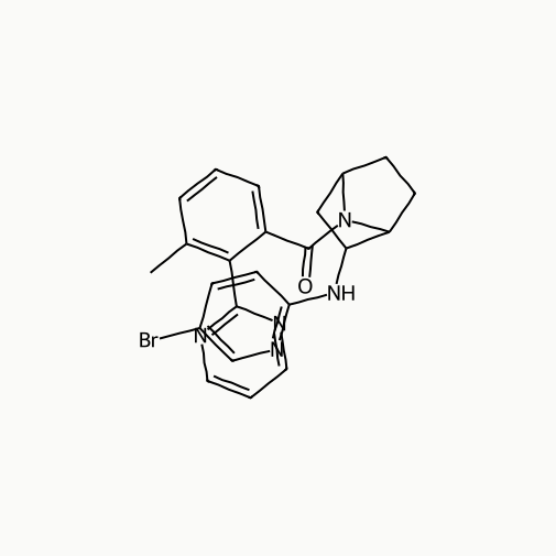 Cc1cccc(C(=O)N2C3CCC2C(Nc2ccc(Br)cn2)C3)c1-c1ncccn1